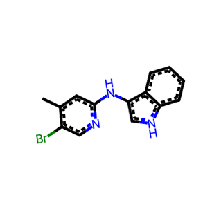 Cc1cc(Nc2c[nH]c3ccccc23)ncc1Br